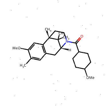 COc1cc2c(cc1C)C[C@H]1N(C(=O)C3CCC(OC)CC3)CC[C@]2(C)C1(C)C